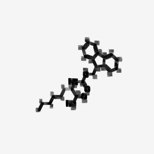 CCCC=CC[C@H](NC(=O)OCC1c2ccccc2-c2ccccc21)C(=O)O